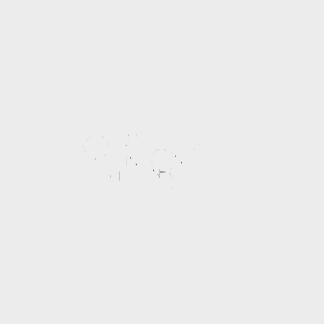 C[C@H]1O[C@@H](n2cc(F)c(NC(=O)c3ccccc3Cl)nc2=O)C(O)C1O